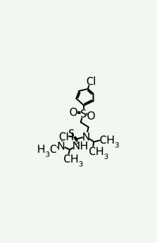 CC(NC(=S)N(CCS(=O)(=O)c1ccc(Cl)cc1)C(C)C)N(C)C